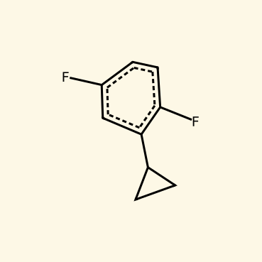 Fc1ccc(F)c(C2CC2)c1